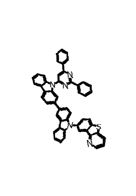 c1ccc(-c2cc(-n3c4ccccc4c4ccc(-c5ccc6c(c5)c5ccccc5n6-c5ccc6sc7cccnc7c6c5)cc43)nc(-c3ccccc3)n2)cc1